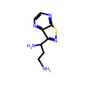 NCCC(N)c1nsc2nccnc12